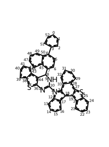 c1ccc(-c2ccc(C3NC(n4c5ccccc5c5c6c7ccccc7sc6c6ccccc6c54)=Nc4sc5ccccc5c43)c3ccccc23)cc1